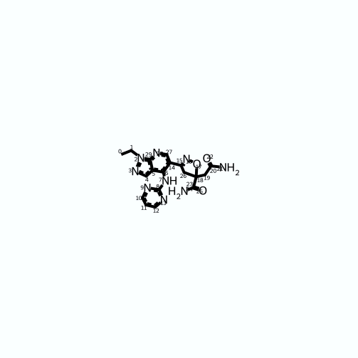 CCn1ncc2c(Nc3ncccn3)c(C3=NOC(CC(N)=O)(C(N)=O)C3)cnc21